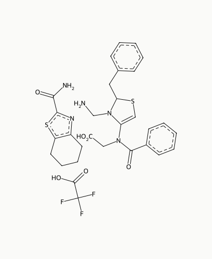 NC(=O)c1nc2c(s1)CCCC2.NCN1C(N(CC(=O)O)C(=O)c2ccccc2)=CSC1Cc1ccccc1.O=C(O)C(F)(F)F